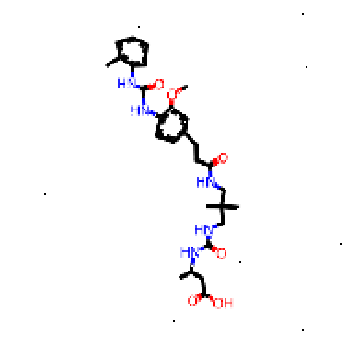 COc1cc(CCC(=O)NCC(C)(C)CNC(=O)NC(C)CC(=O)O)ccc1NC(=O)Nc1ccccc1C